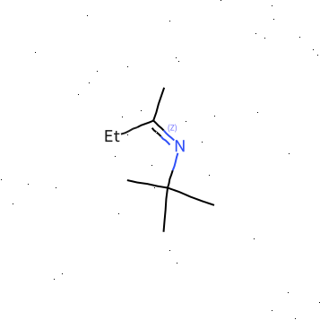 CC/C(C)=N\C(C)(C)C